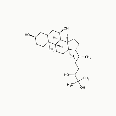 C[C@H](CCC(O)C(C)(C)O)[C@H]1CC[C@H]2[C@@H]3[C@H](O)CC4C[C@H](O)CC[C@]4(C)[C@H]3CC[C@]12C